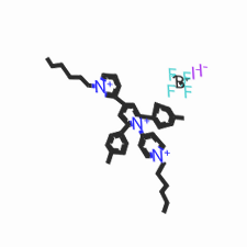 CCCCCC[n+]1ccc(-[n+]2c(-c3ccc(C)cc3)cc(-c3ccc[n+](CCCCCC)c3)cc2-c2ccc(C)cc2)cc1.F[B-](F)(F)F.[I-].[I-]